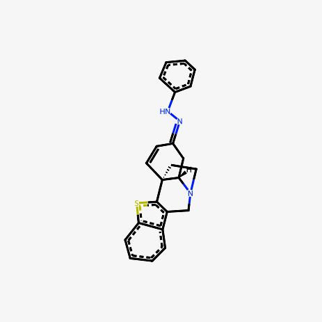 C1=C[C@]23CCN(Cc4c2sc2ccccc42)[C@H]3C/C1=N/Nc1ccccc1